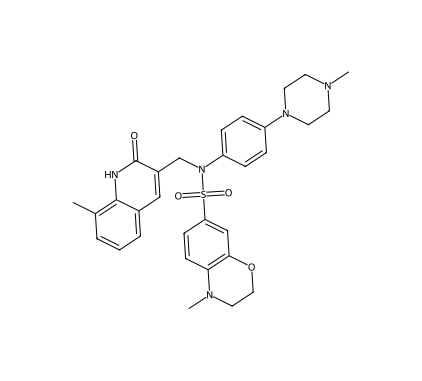 Cc1cccc2cc(CN(c3ccc(N4CCN(C)CC4)cc3)S(=O)(=O)c3ccc4c(c3)OCCN4C)c(=O)[nH]c12